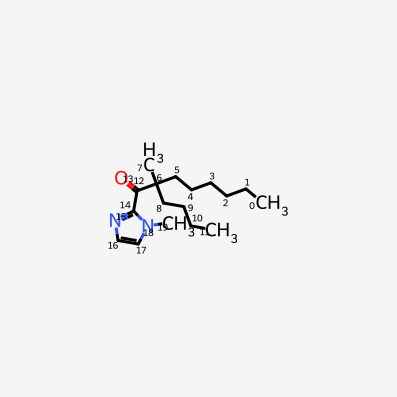 CCCCCCC(C)(CCCC)C(=O)c1nccn1C